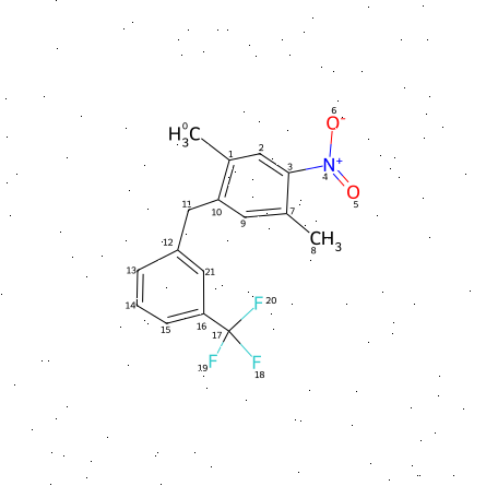 Cc1cc([N+](=O)[O-])c(C)cc1Cc1cccc(C(F)(F)F)c1